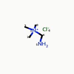 C[N+](C)(C)CN.[Cl-]